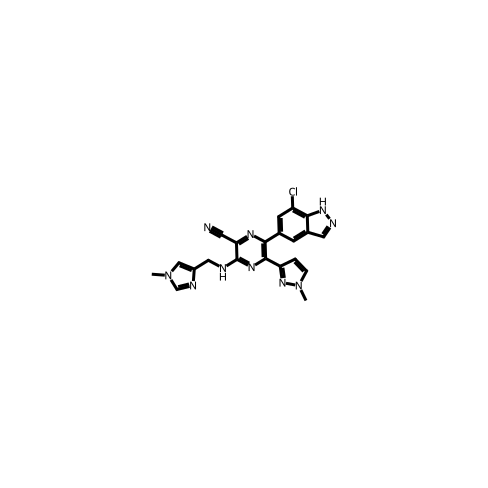 Cn1cnc(CNc2nc(-c3ccn(C)n3)c(-c3cc(Cl)c4[nH]ncc4c3)nc2C#N)c1